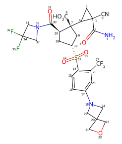 N#CC1(C(N)=O)CC1[C@]1(C(=O)O)C[C@H](S(=O)(=O)c2ccc(N3CC4(COC4)C3)cc2C(F)(F)F)C[C@H]1C(=O)N1CC(F)(F)C1